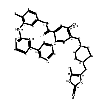 Cc1ccc(NC(=O)c2ccc(CN3CCN(Cc4oc(=O)oc4C)CC3)c(C(F)(F)F)c2)cc1Nc1nccc(-c2cncnc2)n1